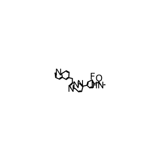 CNC(=O)c1ccc(-c2ccc3ncc(Cc4ccc5ncccc5c4)n3n2)cc1F